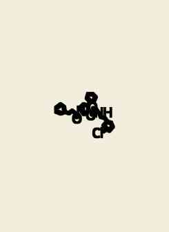 O=C(NCCc1cccc(Cl)c1)OC1(c2ccccc2)CCN(C(=O)CCc2ccccc2)CC1